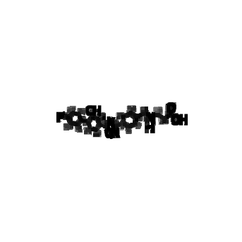 Cc1cc(-c2nc(-c3ccc(CNCCC(=O)O)cc3)no2)ccc1-c1ccc(F)cc1